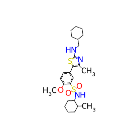 COc1ccc(-c2sc(NCC3CCCCC3)nc2C)cc1S(=O)(=O)NC1CCCCC1C